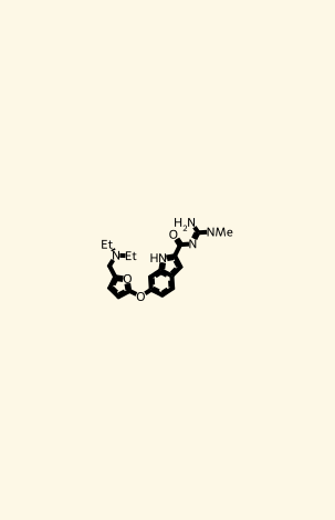 CCN(CC)Cc1ccc(Oc2ccc3cc(C(=O)N=C(N)NC)[nH]c3c2)o1